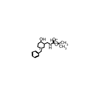 CC(C)(C)OC(=O)NCC1CN(Cc2ccccc2)CCC1O